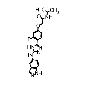 CC(C)NC(=O)COc1ccc(-c2nnc(Nc3ccc4[nH]ncc4c3)[nH]2)c(F)c1